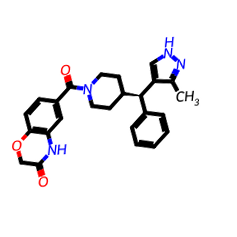 Cc1n[nH]cc1[C@@H](c1ccccc1)C1CCN(C(=O)c2ccc3c(c2)NC(=O)CO3)CC1